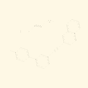 COC=CC(=O)O.Fc1ccc(-c2cccc(C#Cc3ccc4ccccc4c3)c2)cc1